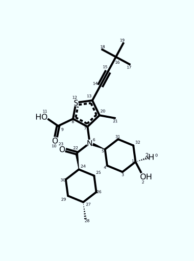 [2H][C@]1(O)CC[C@@H](N(c2c(C(=O)O)sc(C#CC(C)(C)C)c2C)C(=O)[C@H]2CC[C@H](C)CC2)CC1